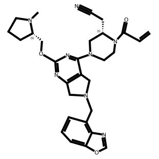 C=CC(=O)N1CCN(c2nc(OC[C@@H]3CCCN3C)nc3c2CN(Cc2cccc4ocnc24)C3)C[C@@H]1CC#N